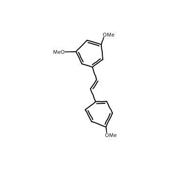 COc1ccc(C=Cc2cc(OC)cc(OC)c2)cc1